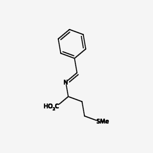 CSCCC(N=Cc1ccccc1)C(=O)O